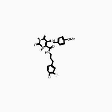 C=C1C(NCc2ccc(OC)cc2)=C(C(=O)NCCCc2ccc(Cl)c(Cl)c2)N(C)C(=O)N1C